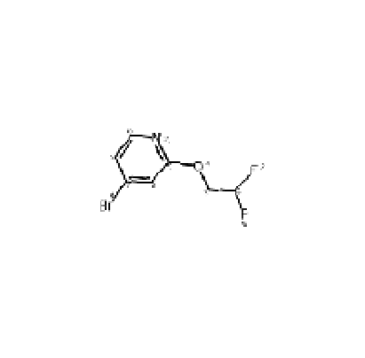 FC(F)COc1cc(Br)ccn1